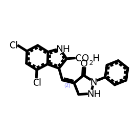 O=C(O)c1[nH]c2cc(Cl)cc(Cl)c2c1/C=C1/CNN(c2ccccc2)C1=O